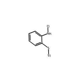 CCSc1ccccc1NCl